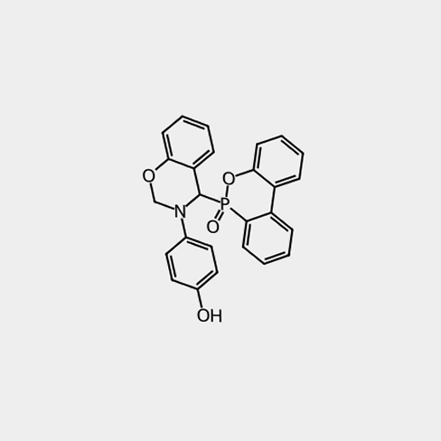 O=P1(C2c3ccccc3OCN2c2ccc(O)cc2)Oc2ccccc2-c2ccccc21